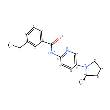 CCc1cccc(C(=O)Nc2ccc(N3CCC[C@H]3C)cn2)c1